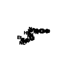 CCc1cnn(C2(CC#N)CN(c3cccn4nc(Nc5cnn(Cc6cn(C7CCN(C8COC8)CC7)nn6)c5)nc34)C2)c1